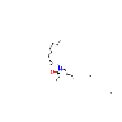 CC/C=C\CCC1CC1CN(CCCC)C(=O)CC